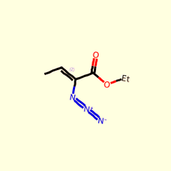 C/C=C(\N=[N+]=[N-])C(=O)OCC